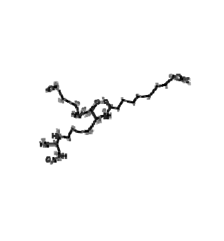 CCCCCCCCCCCCCCCCCC(=O)NC(CCCNC(=N)N[N+](=O)[O-])C(=O)NCCCCCCCCCCCC